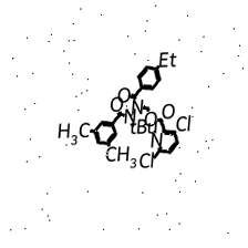 CCc1ccc(C(=O)N(COC(=O)c2nc(Cl)ccc2Cl)N(C(=O)c2cc(C)cc(C)c2)C(C)(C)C)cc1